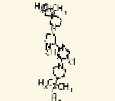 CCC1(C(C)C)CCCN(C2CCN(C)C(c3cc(N4CCC(C(C)(C)C)CC4)c(Cl)cn3)C2)C1